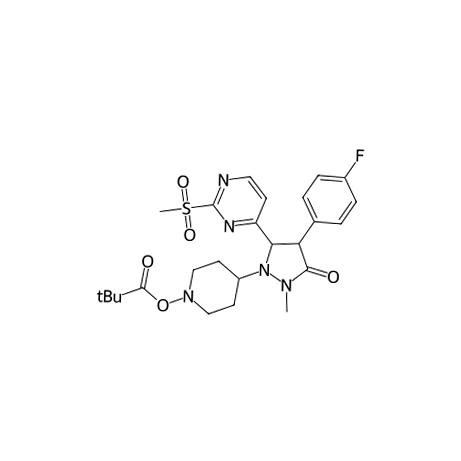 CN1C(=O)C(c2ccc(F)cc2)C(c2ccnc(S(C)(=O)=O)n2)N1C1CCN(OC(=O)C(C)(C)C)CC1